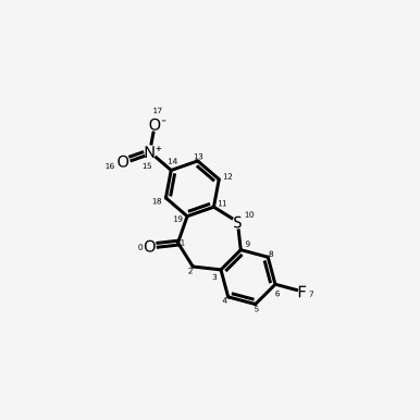 O=C1Cc2ccc(F)cc2Sc2ccc([N+](=O)[O-])cc21